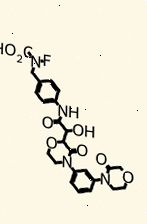 O=C(Nc1ccc(CN(F)C(=O)O)cc1)C(O)C1OCCN(c2cccc(N3CCOCC3=O)c2)C1=O